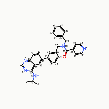 CC(C)Nc1ncnc2ccc(-c3cccc(CN(Cc4ccccc4)C(=O)c4ccncc4)c3)cc12